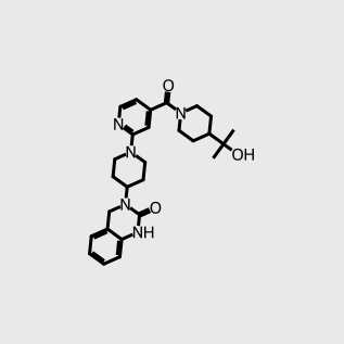 CC(C)(O)C1CCN(C(=O)c2ccnc(N3CCC(N4Cc5ccccc5NC4=O)CC3)c2)CC1